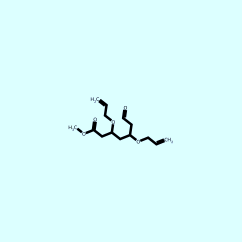 C=CCOC(CC=O)CC(CC(=O)OC)OCC=C